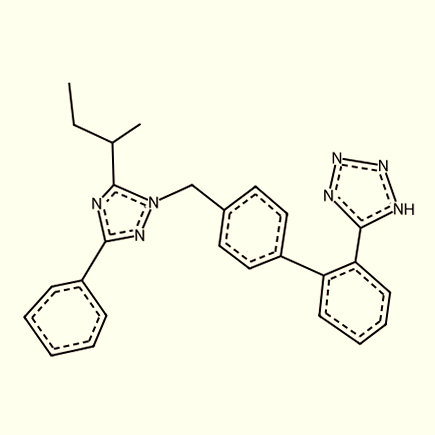 CCC(C)c1nc(-c2ccccc2)nn1Cc1ccc(-c2ccccc2-c2nnn[nH]2)cc1